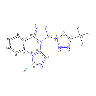 CC(C)(C)c1cn(N2CN=C3c4ccccc4-n4c(cnc4F)N32)nn1